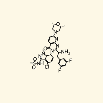 C[C@@H]1CN(c2ccc3c(=O)n(C4C=CC(Cl)=C5C(NS(C)(=O)=O)=NN(C)C54)c([C@@H](N)Cc4cc(F)cc(F)c4)nc3n2)C[C@H](C)O1